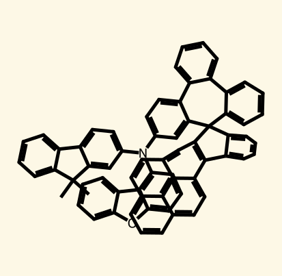 CC1(C)c2ccccc2-c2ccc(N(c3ccc4c(c3)C3(c5ccccc5-c5ccccc5-4)c4ccccc4-c4c3cc3ccc5cccc6ccc4c3c56)c3cccc4oc5ccccc5c34)cc21